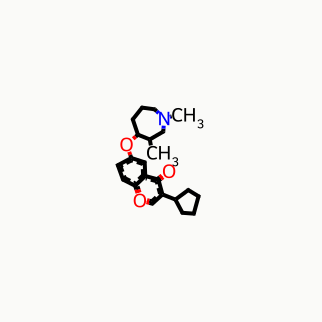 CC1CN(C)CCCC1Oc1ccc2occ(C3CCCC3)c(=O)c2c1